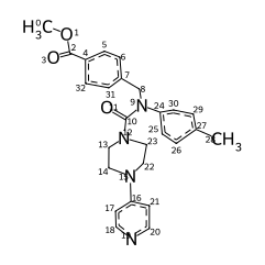 COC(=O)c1ccc(CN(C(=O)N2CCN(c3ccncc3)CC2)c2ccc(C)cc2)cc1